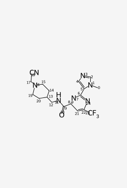 Cn1cncc1-c1nc(C(=O)NCC2CCN(CC#N)CC2)cc(C(F)(F)F)n1